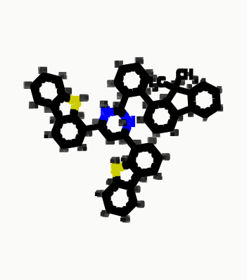 CC1(C)c2ccccc2-c2cccc(-c3ccccc3-c3nc(-c4cccc5c4sc4ccccc45)cc(-c4cccc5c4sc4ccccc45)n3)c21